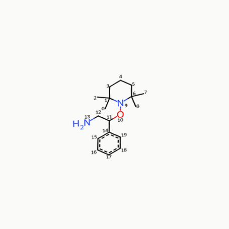 CC1(C)CCCC(C)(C)N1OC(CN)c1ccccc1